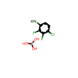 Fc1ccc(Cl)c(F)c1F.OB(O)O.[KH]